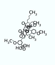 CCCCCC(C(=O)NCNC(=O)c1ccc(-c2cc(OCC)cc(P(=O)(O)O)c2)o1)C(CC)N(C=O)OC(=O)c1ccc(OC)cc1C(C)C